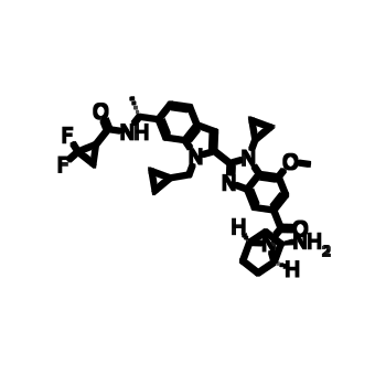 COc1cc(C(=O)N2[C@H]3CC[C@@H]2[C@H](N)C3)cc2nc(-c3cc4ccc([C@@H](C)NC(=O)C5CC5(F)F)cc4n3CC3CC3)n(C3CC3)c12